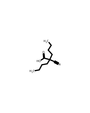 CCCCC(C#N)(CCCC)C(=O)O